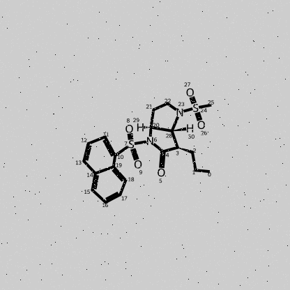 CCC[C@H]1C(=O)N(S(=O)(=O)c2cccc3ccccc23)[C@H]2CCN(S(C)(=O)=O)[C@H]12